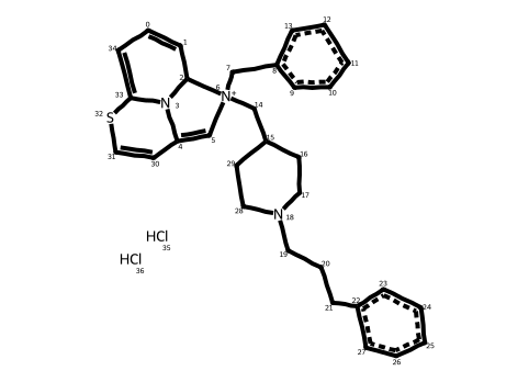 C1=CC2N3C(=C[N+]2(Cc2ccccc2)CC2CCN(CCCc4ccccc4)CC2)C=CSC3=C1.Cl.Cl